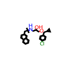 CC(C)(Cc1ccc2ccccc2c1)NC[C@@H](O)COC(c1ccc(Cl)cc1)C1CC1